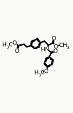 COC(=O)CCc1ccc(CC(NC(=O)c2ccc(OC)cc2)C(=O)OC)cc1